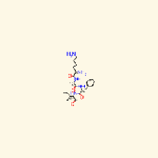 CC[C@H](C)[C@@H]([C]=O)NC(=O)[C@H](Cc1ccccc1)NC(=O)[C@H](C)NC(=O)[C@@H](N)CCCCN